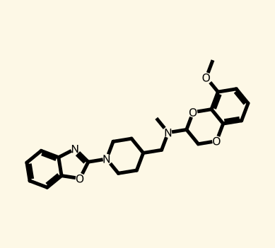 COc1cccc2c1OC(N(C)CC1CCN(c3nc4ccccc4o3)CC1)CO2